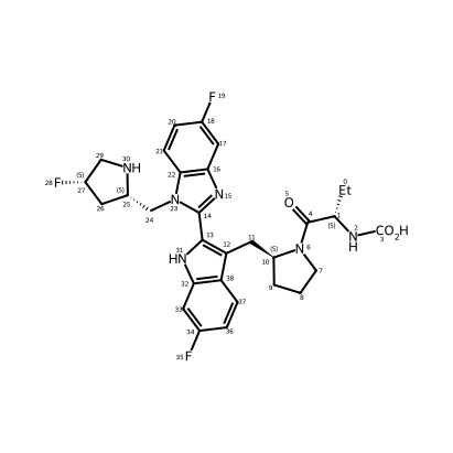 CC[C@H](NC(=O)O)C(=O)N1CCC[C@H]1Cc1c(-c2nc3cc(F)ccc3n2C[C@@H]2C[C@H](F)CN2)[nH]c2cc(F)ccc12